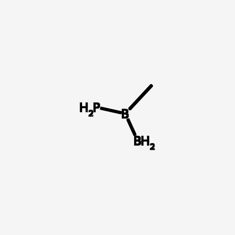 BB(C)P